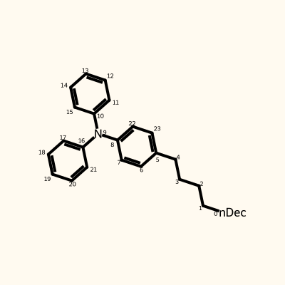 CCCCCCCCCCCCCCc1ccc(N(c2ccccc2)c2ccccc2)cc1